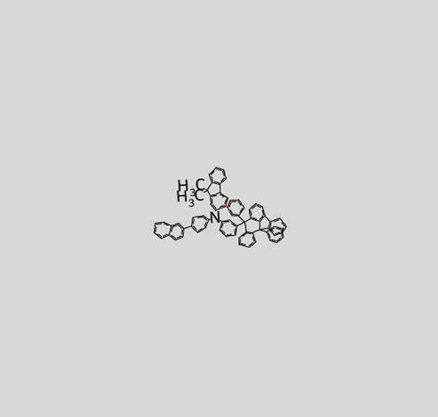 CC1(C)c2ccccc2-c2ccc(N(c3ccc(-c4ccc5ccccc5c4)cc3)c3cccc(C4(c5ccccc5)c5ccccc5C5(c6ccccc6)c6ccccc6-c6cccc4c65)c3)cc21